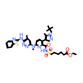 CCOC(=O)CCCCCS(=O)(=O)NC(=O)c1nc(N(C)c2cc(C)c(Nc3nc4ccccc4s3)nn2)ccc1-c1cnn(CC(C)(C)C)c1C